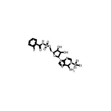 CC[N+](CC)(CC)N1C=Nc2c(ncn2[C@@H]2O[C@H](COS(=O)(=O)NC(=O)c3ccccc3F)C(O)C2O)C1N